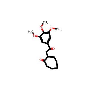 COc1cc(C(=O)CC2CCCCCC2=O)cc(OC)c1OC